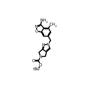 Cc1cc(Cn2cc3c(n2)CN(C(=O)OC(C)(C)C)C3)cc2onc(N)c12